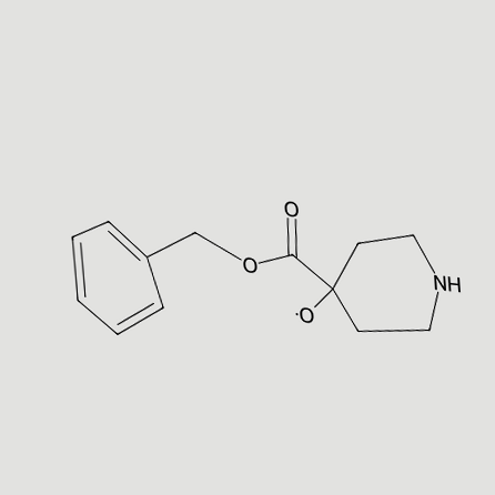 [O]C1(C(=O)OCc2ccccc2)CCNCC1